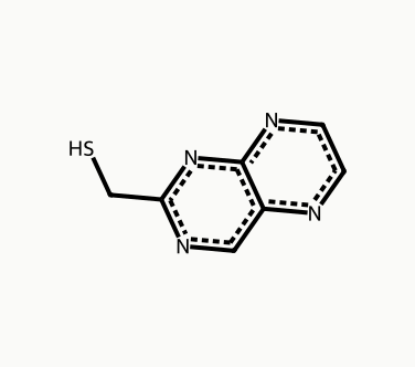 SCc1ncc2nccnc2n1